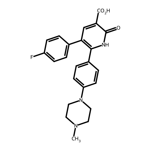 CN1CCN(c2ccc(-c3[nH]c(=O)c(C(=O)O)cc3-c3ccc(F)cc3)cc2)CC1